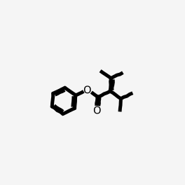 CC(C)=C(C(=O)Oc1ccccc1)C(C)C